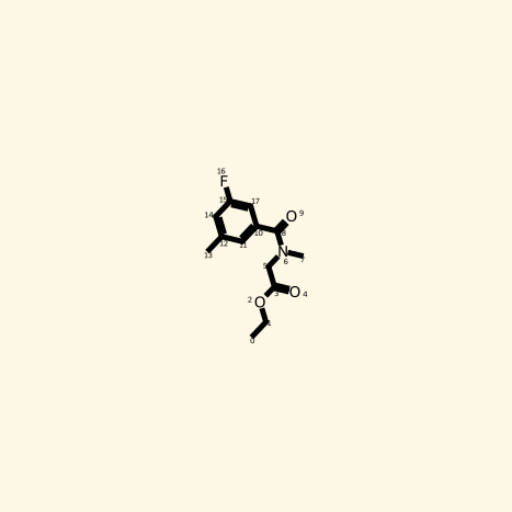 CCOC(=O)CN(C)C(=O)c1cc(C)cc(F)c1